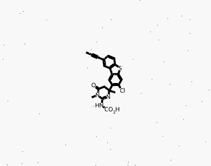 CC#Cc1ccc2sc3cc(Cl)c(C4(C)CC(=O)N(C)C(NC(=O)O)=N4)cc3c2c1